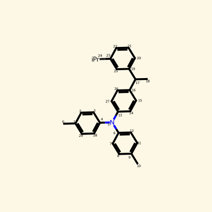 Cc1ccc(N(c2ccc(C)cc2)c2ccc(C(C)c3cccc(C(C)C)c3)cc2)cc1